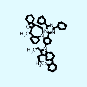 C=C1C2=C(CCC=C2)N(c2cc(-n3c(CC)c(/C=C\C)c4c5sc6ccccc6c5ccc43)ccc2-c2nc(-c3ccccc3)nc(-c3ccccc3)n2)C/C=C\c2c1oc1c2CCC=C1